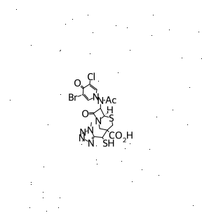 CC(=O)N(C1C(=O)N2CC(C(=O)O)(C(S)c3nnnn3C)CS[C@H]12)n1cc(Cl)c(=O)c(Br)c1